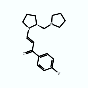 O=C(/C=C/N1CCC[C@H]1CN1CCCC1)c1ccc(Br)cc1